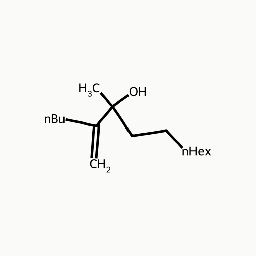 C=C(CCCC)C(C)(O)CCCCCCCC